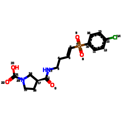 O=C(NCC/C=C/S(=O)(=O)c1ccc(Cl)cc1)[C@H]1CCN(C(=O)O)C1